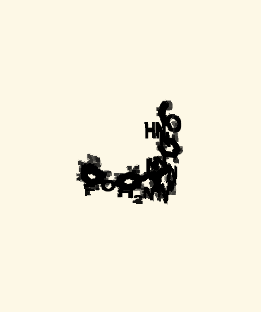 C=CC(=O)NN1CCCC(n2nc(-c3ccc(Oc4ccccc4F)cc3)c3c(N)ncnc32)C1